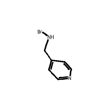 BrNCc1ccncc1